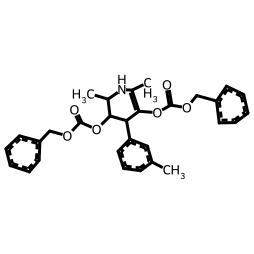 CC1=C(OC(=O)OCc2ccccc2)C(c2cccc(C)c2)C(OC(=O)OCc2ccccc2)C(C)N1